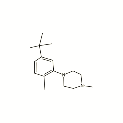 Cc1ccc(C(C)(C)C)cc1N1CCN(C)CC1